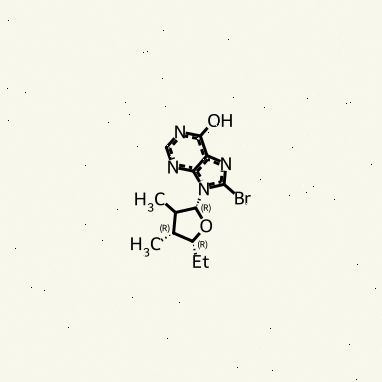 CC[C@H]1O[C@@H](n2c(Br)nc3c(O)ncnc32)C(C)[C@H]1C